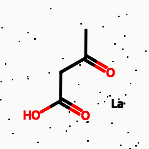 CC(=O)CC(=O)O.[La]